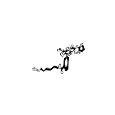 CCCCCCCCCCCCCCCCOC(=O)c1cccc(NC(=O)C(OC)(C(=O)C(C)(C)C)N2C(=O)C(Oc3ccccn3)N(CCC)C2=O)c1